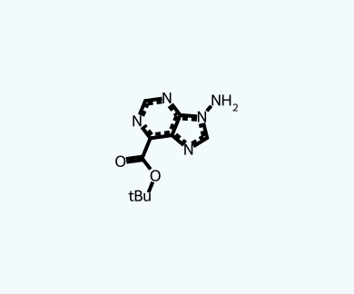 CC(C)(C)OC(=O)c1ncnc2c1ncn2N